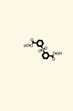 O=C(OO)c1cccc(S(=O)(=O)c2cccc(C(=O)OO)c2)c1